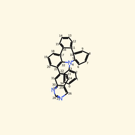 c1ccc(N2c3ccccc3-c3ccccc3-c3cccc(-c4ccc5cncnc5c4)c32)cc1